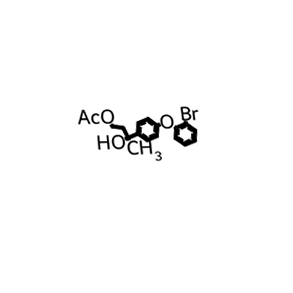 CC(=O)OCCC(C)(O)c1ccc(Oc2ccccc2Br)cc1